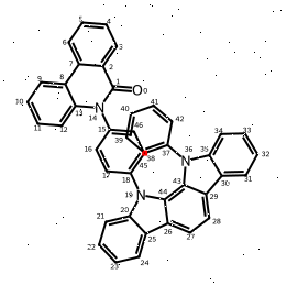 O=c1c2ccccc2c2ccccc2n1-c1ccc(-n2c3ccccc3c3ccc4c5ccccc5n(-c5ccccc5)c4c32)cc1